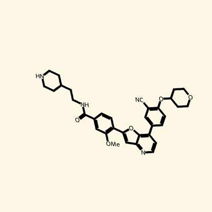 COc1cc(C(=O)NCCC2CCNCC2)ccc1-c1cc2nccc(-c3ccc(OC4CCOCC4)c(C#N)c3)c2o1